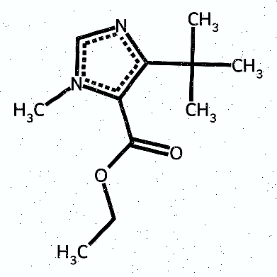 CCOC(=O)c1c(C(C)(C)C)ncn1C